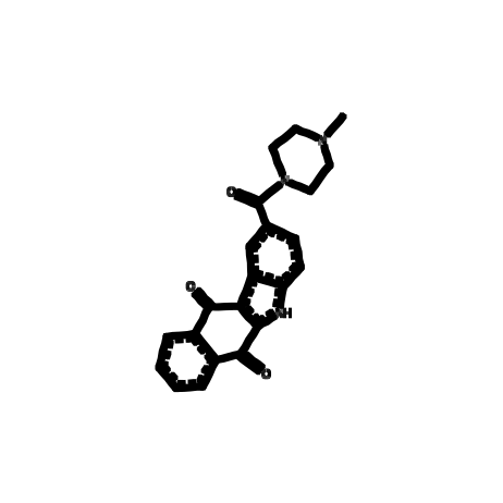 CN1CCN(C(=O)c2ccc3[nH]c4c(c3c2)C(=O)c2ccccc2C4=O)CC1